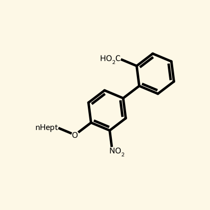 CCCCCCCOc1ccc(-c2ccccc2C(=O)O)cc1[N+](=O)[O-]